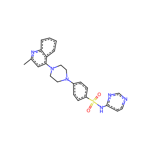 Cc1cc(N2CCN(c3ccc(S(=O)(=O)Nc4ccncn4)cc3)CC2)c2ccccc2n1